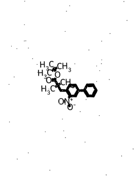 CC(C)(C)OC(=O)C(C)(C)Cc1ccc(-c2ccccc2)cc1[N+](=O)[O-]